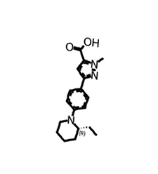 CC[C@@H]1CCCCN1c1ccc(-c2cc(C(=O)O)n(C)n2)cc1